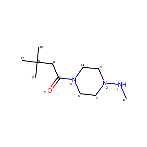 CNN1CCN(C(=O)CC(C)(C)C)CC1